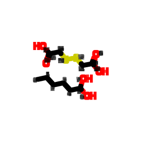 CCCCCC(O)O.O=C(O)CSSCC(=O)O